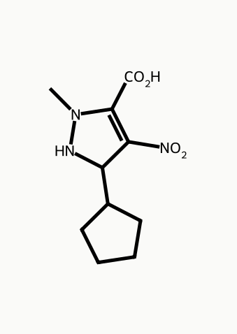 CN1NC(C2CCCC2)C([N+](=O)[O-])=C1C(=O)O